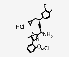 Cc1ccc([C@@H](C#CC(N)c2nc(-c3ccccc3OCCl)c(C)s2)CC2CC2)cc1F.Cl